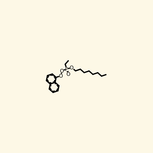 CCCCCCCCOP(=O)(CC)OOc1cccc2ccccc12